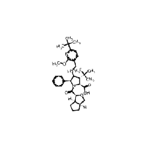 COc1nc(C(C)(C)C)ccc1CN[C@H]1[C@H](C(C)(C)C)[C@@H](C(=O)O)N(C(=O)[C@H]2OC[C@H]3CCC[C@H]32)[C@H]1c1ccccc1